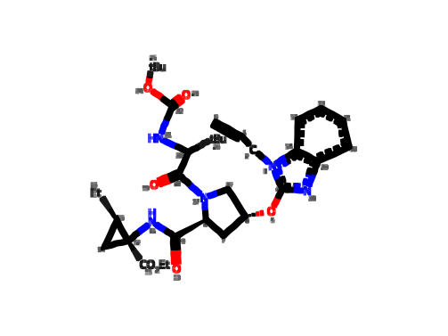 C=CCn1c(O[C@@H]2C[C@@H](C(=O)N[C@]3(C(=O)OCC)C[C@H]3CC)N(C(=O)C(NC(=O)OC(C)(C)C)C(C)(C)C)C2)nc2ccccc21